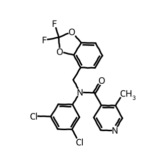 Cc1cnccc1C(=O)N(Cc1cccc2c1OC(F)(F)O2)c1cc(Cl)cc(Cl)c1